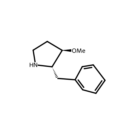 CO[C@@H]1CCN[C@H]1Cc1ccccc1